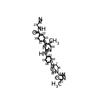 Cc1nnc(N2CCN(c3ccc(Nc4ncc(C)c(-c5ccc(C(=O)NCC#N)cc5)n4)cc3)CC2)o1